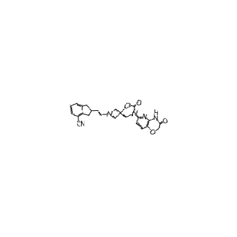 N#Cc1cccc2c1CC(CCN1CC3(C1)CN(c1ccc4c(n1)NC(=O)CO4)C(=O)O3)C2